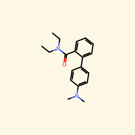 CCN(CC)C(=O)c1ccccc1-c1ccc(N(C)C)cc1